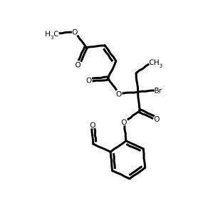 CCC(Br)(OC(=O)/C=C\C(=O)OC)C(=O)Oc1ccccc1C=O